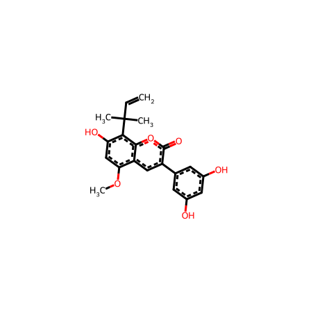 C=CC(C)(C)c1c(O)cc(OC)c2cc(-c3cc(O)cc(O)c3)c(=O)oc12